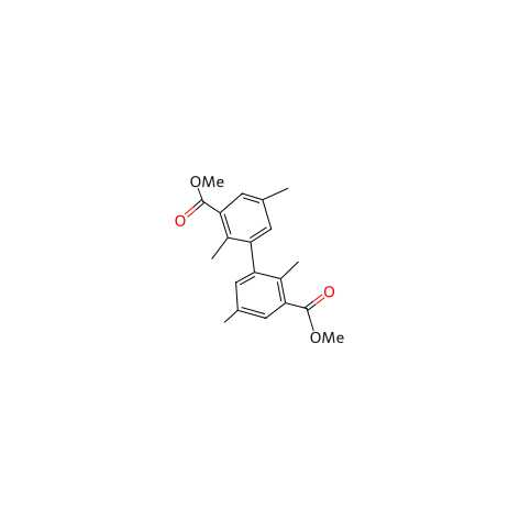 COC(=O)c1cc(C)cc(-c2cc(C)cc(C(=O)OC)c2C)c1C